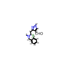 CN(CCc1nn(C)cc1C=O)Cc1ccccc1F